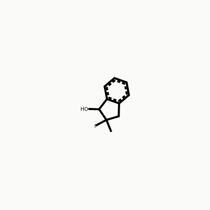 CC1(I)Cc2ccccc2C1O